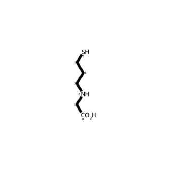 O=C(O)CNCCCS